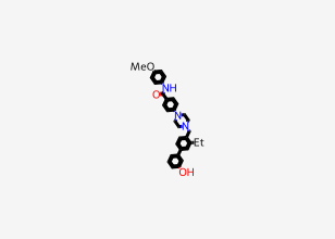 CCc1cc(-c2cccc(O)c2)ccc1CN1CCN(c2ccc(C(=O)Nc3ccc(OC)cc3)cc2)CC1